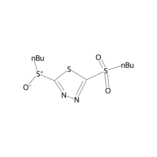 CCCC[S+]([O-])c1nnc(S(=O)(=O)CCCC)s1